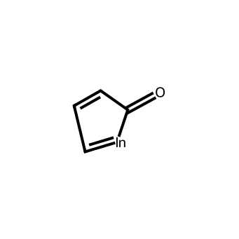 O=[C]1C=C[CH]=[In]1